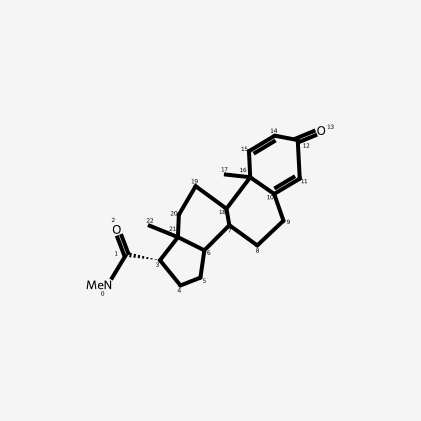 CNC(=O)[C@H]1CCC2C3CCC4=CC(=O)C=CC4(C)C3CCC21C